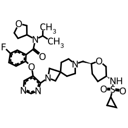 CC(C)N(C(=O)c1cc(F)ccc1Oc1cncnc1N1CC2(CCN(C[C@@H]3CC[C@@H](NS(=O)(=O)C4CC4)CO3)CC2)C1)C1CCOC1